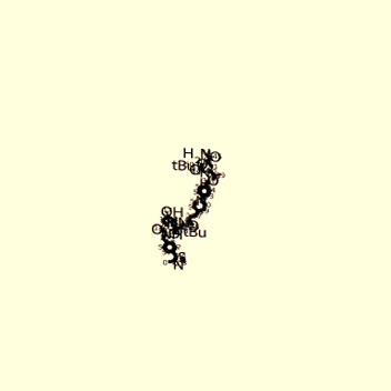 Cc1ncsc1-c1ccc(CNC(=O)[C@@H]2C[C@@H](O)CN2C(=O)[C@@H](NC(=O)CCC2CCN(c3ccc(CO[C@H](C)[C@H](CCC(N)=O)NC(=O)OC(C)(C)C)cc3)CC2)C(C)(C)C)cc1